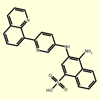 Nc1c(Nc2ccc(-c3cccc4cccnc34)nc2)cc(S(=O)(=O)O)c2ccccc12